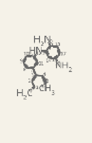 C=C/C=C(\C=C/C)c1cccc(Nc2cc(N)ccc2N)c1